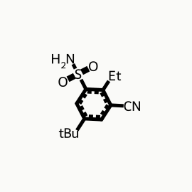 CCc1c(C#N)cc(C(C)(C)C)cc1S(N)(=O)=O